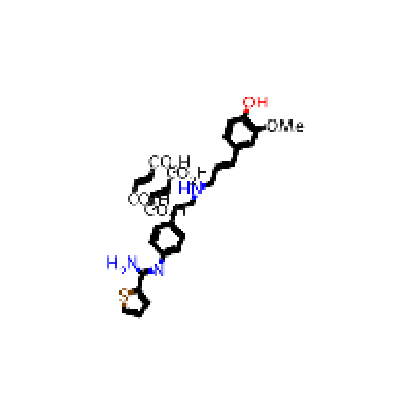 COc1cc(C=CCNCCc2ccc(N=C(N)c3cccs3)cc2)ccc1O.O=C(O)/C=C/C(=O)O.O=C(O)/C=C/C(=O)O